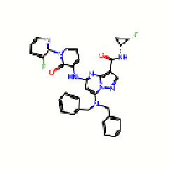 O=C(N[C@@H]1C[C@@H]1F)c1cnn2c(N(Cc3ccccc3)Cc3ccccc3)cc(Nc3cccn(-c4ncccc4F)c3=O)nc12